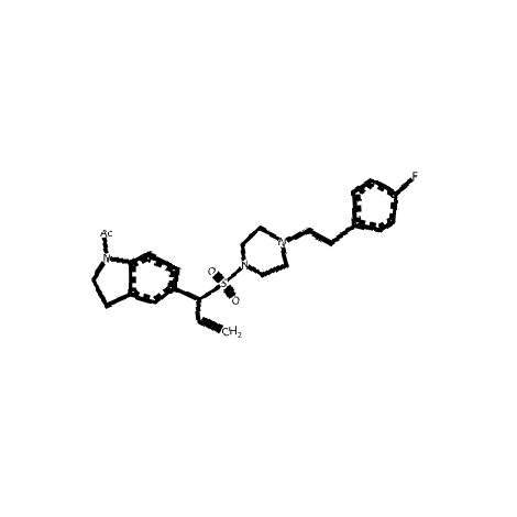 C=CC(c1ccc2c(c1)CCN2C(C)=O)S(=O)(=O)N1CCN(CCc2ccc(F)cc2)CC1